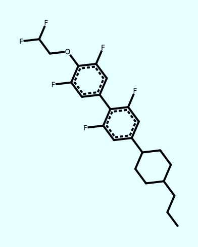 CCCC1CCC(c2cc(F)c(-c3cc(F)c(OCC(F)F)c(F)c3)c(F)c2)CC1